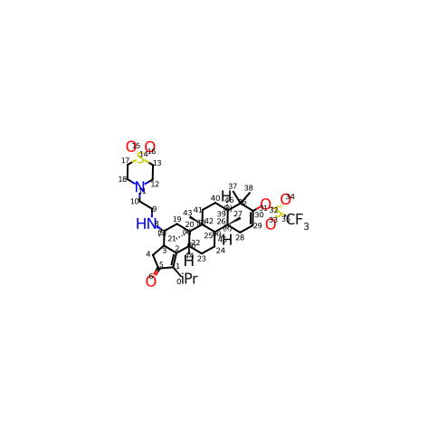 CC(C)C1=C2C(CC1=O)[C@@H](NCCN1CCS(=O)(=O)CC1)C[C@]1(C)[C@@H]2CC[C@@H]2[C@@]3(C)CC=C(OS(=O)(=O)C(F)(F)F)C(C)(C)[C@@H]3CC[C@]21C